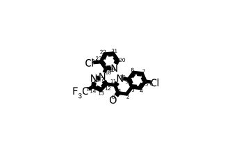 O=C1Cc2cc(Cl)ccc2N=C1c1cc(C(F)(F)F)nn1-c1ncccc1Cl